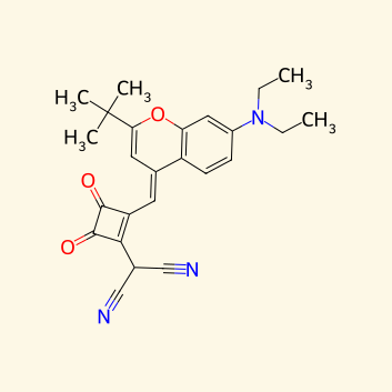 CCN(CC)c1ccc2c(c1)OC(C(C)(C)C)=CC2=Cc1c(C(C#N)C#N)c(=O)c1=O